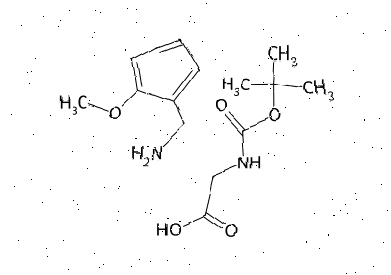 CC(C)(C)OC(=O)NCC(=O)O.COc1ccccc1CN